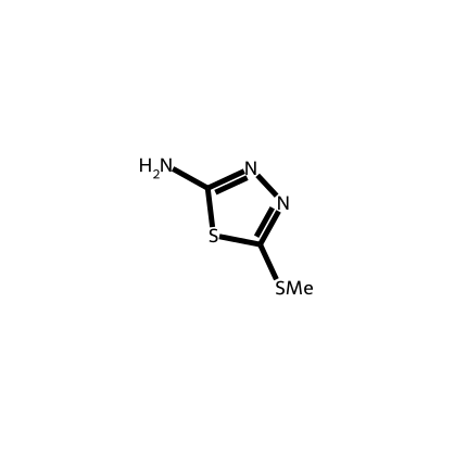 [CH2]Sc1nnc(N)s1